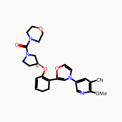 COc1ncc(N2C=COC(C3=C(O[C@H]4CCN(C(=O)N5CCOCC5)C4)C=CCC3)=C2)cc1C#N